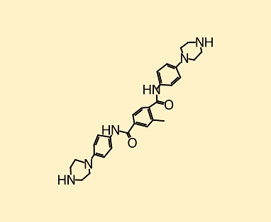 Cc1cc(C(=O)Nc2ccc(N3CCNCC3)cc2)ccc1C(=O)Nc1ccc(N2CCNCC2)cc1